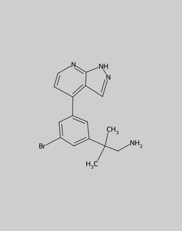 CC(C)(CN)c1cc(Br)cc(-c2ccnc3[nH]ncc23)c1